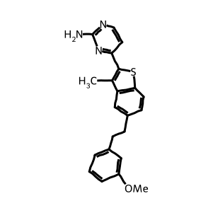 COc1cccc(CCc2ccc3sc(-c4ccnc(N)n4)c(C)c3c2)c1